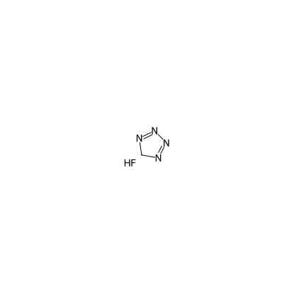 C1N=NN=N1.F